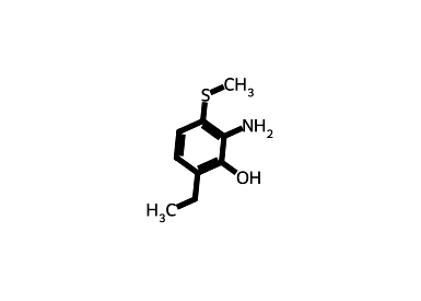 CCc1ccc(SC)c(N)c1O